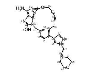 Nc1nc2nc3c1nc(O)n3Cc1ccc(-c3cnn(CCN4CCOCC4)c3)c(c1)C/C=C/CCO2